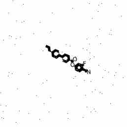 CCC[C@H]1CC[C@H]([C@H]2CC[C@H](C(=O)Oc3ccc(C#N)c(F)c3)CC2)CC1